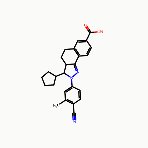 Cc1cc(N2N=C3c4ccc(C(=O)O)cc4CCC3C2C2CCCC2)ccc1C#N